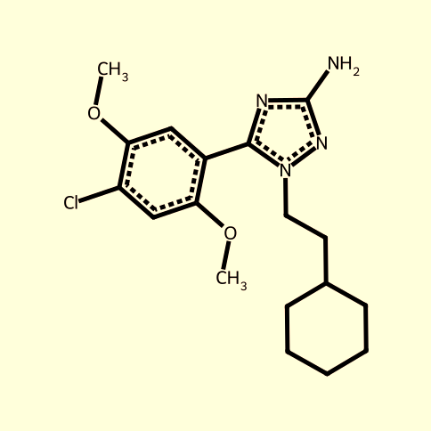 COc1cc(-c2nc(N)nn2CCC2CCCCC2)c(OC)cc1Cl